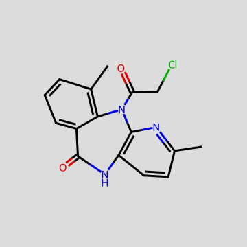 Cc1ccc2c(n1)N(C(=O)CCl)c1c(C)cccc1C(=O)N2